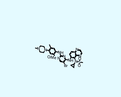 COc1cc(N2CCN(C)CC2)c(C)cc1Nc1ncc(Br)c(Nc2ccc3nccnc3c2N(C2CC2)S(C)(=O)=O)n1